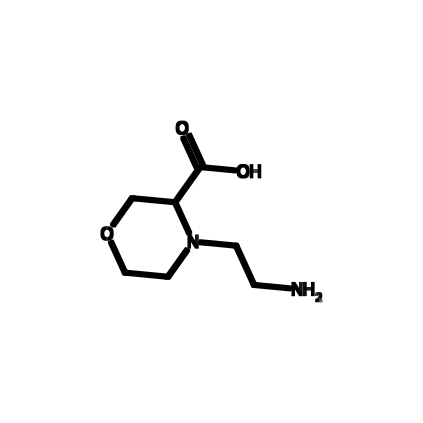 NCCN1CCOCC1C(=O)O